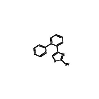 CC(C)c1nc(-c2ccccc2-c2ccccc2)cs1